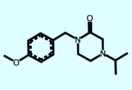 COc1ccc(CN2CCN(C(C)C)CC2=O)cc1